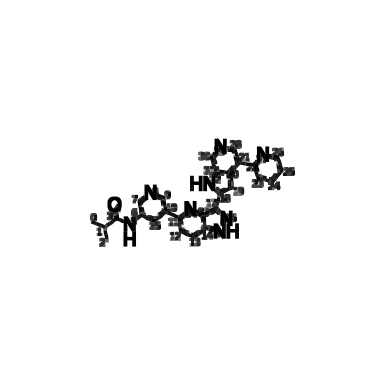 CC(C)C(=O)Nc1cncc(-c2ccc3[nH]nc(-c4cc5c(-c6ccccn6)cncc5[nH]4)c3n2)c1